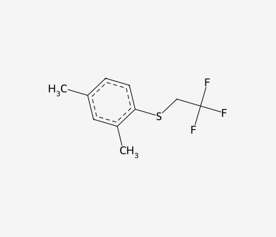 Cc1ccc(SCC(F)(F)F)c(C)c1